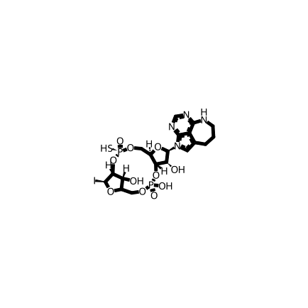 O=P1(O)OCC2O[C@@H](I)[C@H](O[P@](=O)(S)OC[C@H]3O[C@@H](n4cc5c6c(ncnc64)NCCC5)[C@H](O)[C@@H]3O1)[C@@H]2O